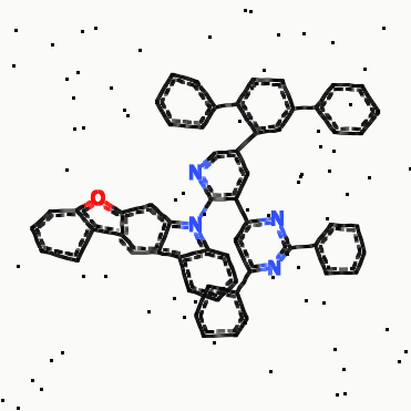 c1ccc(-c2ccc(-c3ccccc3)c(-c3cnc(-n4c5ccccc5c5cc6c(cc54)oc4ccccc46)c(-c4cc(-c5ccccc5)nc(-c5ccccc5)n4)c3)c2)cc1